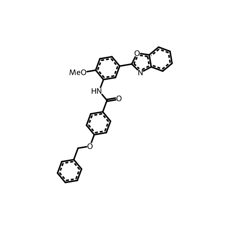 COc1ccc(-c2nc3ccccc3o2)cc1NC(=O)c1ccc(OCc2ccccc2)cc1